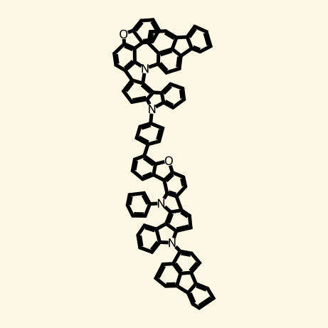 c1ccc(-n2c3c(ccc4oc5c(-c6ccc(-n7c8ccccc8c8c7ccc7c9ccc%10oc%11ccccc%11c%10c9n(-c9ccc%10c%11c(cccc9%11)-c9ccccc9-%10)c78)cc6)cccc5c43)c3ccc4c(c5ccccc5n4-c4ccc5c6c(cccc46)-c4ccccc4-5)c32)cc1